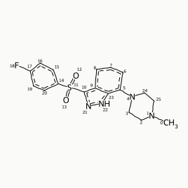 CN1CCN(c2cccc3c(S(=O)(=O)c4ccc(F)cc4)n[nH]c23)CC1